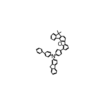 CC1(C)c2ccccc2-c2c1ccc1c2oc2c(-c3ccc(N(c4ccc(-c5ccccc5)cc4)c4ccc5c(c4)Cc4ccccc4-5)cc3)cccc21